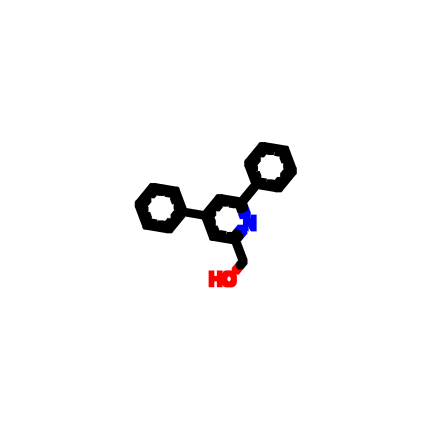 OCc1cc(-c2ccccc2)cc(-c2ccccc2)n1